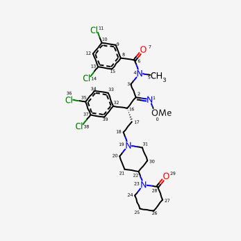 CON=C(CN(C)C(=O)c1cc(Cl)cc(Cl)c1)[C@H](CCN1CCC(N2CCCCC2=O)CC1)c1ccc(Cl)c(Cl)c1